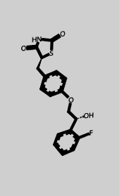 O=C1NC(=O)[C@H](Cc2ccc(OC[C@H](O)c3ccccc3F)cc2)S1